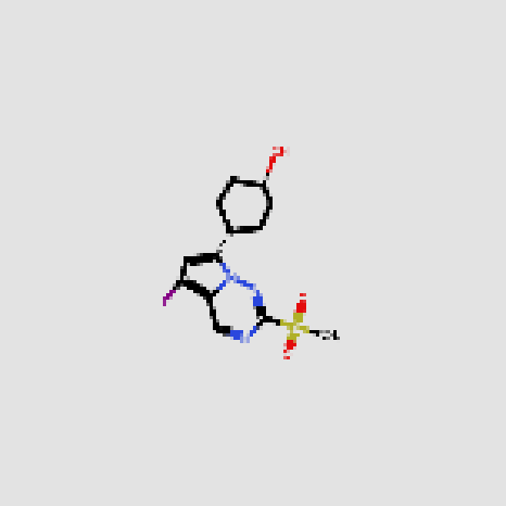 CS(=O)(=O)c1ncc2c(I)cc([C@H]3CC[C@H](O)CC3)n2n1